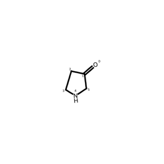 O=C1CCNC1